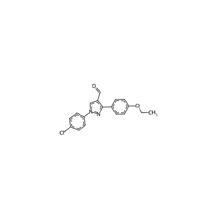 CCOc1ccc(-c2nn(-c3ccc(Cl)cc3)cc2C=O)cc1